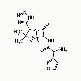 CC1(C)S[C@H]2C(NC(=O)C(N)c3ccoc3)C(=O)N2C1c1nnn[nH]1